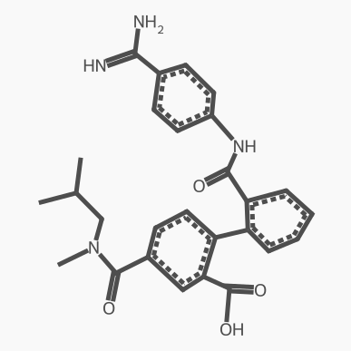 CC(C)CN(C)C(=O)c1ccc(-c2ccccc2C(=O)Nc2ccc(C(=N)N)cc2)c(C(=O)O)c1